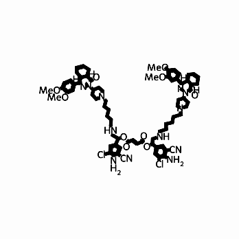 COc1ccc(C2=NN(C3CCN(CCCCCCNCC(OC(=O)/C=C/C(=O)OC(CNCCCCCCN4CCC(N5N=C(c6ccc(OC)c(OC)c6)[C@H]6CC=CC[C@H]6C5=O)CC4)c4cc(Cl)c(N)c(C#N)c4)c4cc(Cl)c(N)c(C#N)c4)CC3)C(=O)[C@@H]3CC=CC[C@H]23)cc1OC